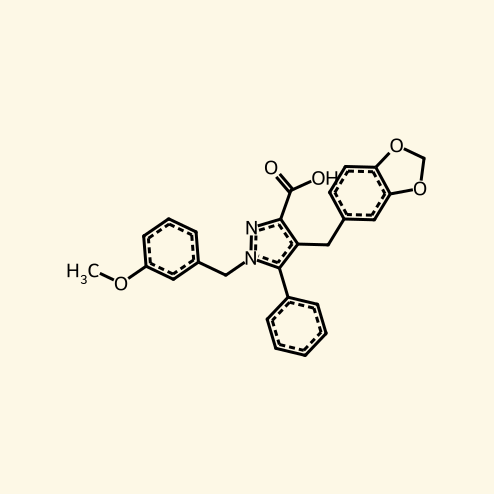 COc1cccc(Cn2nc(C(=O)O)c(Cc3ccc4c(c3)OCO4)c2-c2ccccc2)c1